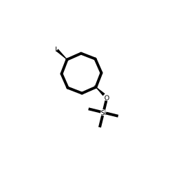 C[Si](C)(C)O[C@H]1CCC[C@@H](I)CCC1